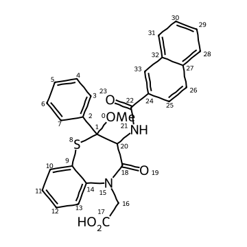 COC1(c2ccccc2)Sc2ccccc2N(CC(=O)O)C(=O)C1NC(=O)c1ccc2ccccc2c1